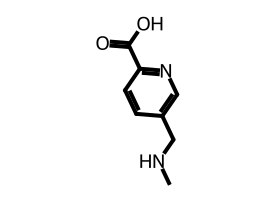 CNCc1ccc(C(=O)O)nc1